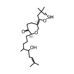 CC(C)=CCC(O)C(C)CCC[C@]1(C)OC/C(=C(/CC(C)(C)C)O[SiH](C)C)CCC1=O